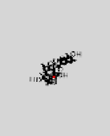 CC1=C[C@H]2[C@@]3(O)[C@H](C)[C@@H](O)[C@]4(OC(=O)N(C)CCCN(C)C(=O)c5cc6cc(C)c(O)c(C)c6oc5=O)[C@H]([C@@H]3C=C(CO)C[C@]2(O)C1=O)C4(C)C